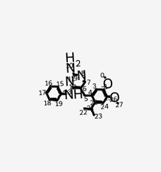 COc1cc(Cc2cnc(N)nc2Nc2ccccc2)c(C(C)C)cc1OC